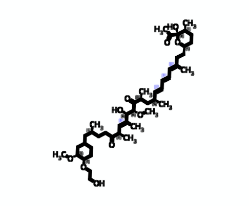 CO[C@@H]1CC(C[C@@H](C)CCC(=O)[C@H](C)/C=C(\C)[C@@H](O)[C@@H](OC)C(=O)[C@H](C)C[C@H](C)/C=C/C=C/C=C(\C)CC[C@@H]2CC[C@@H](C)[C@](O)(C(C)=O)O2)CC[C@H]1OCCO